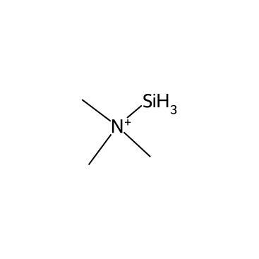 C[N+](C)(C)[SiH3]